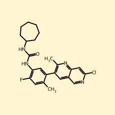 Cc1cc(F)c(NC(=O)NC2CCCCCC2)cc1-c1cc2cnc(Cl)cc2nc1C